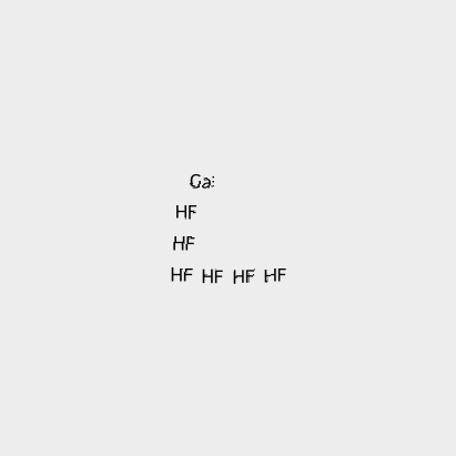 F.F.F.F.F.F.[Ga]